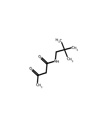 CC(=O)CC(=O)NCC(C)(C)C